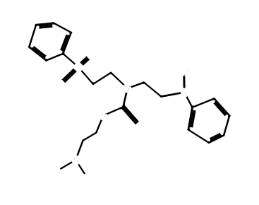 CCN(CC)CCNC(=O)N(CCN(C)c1ccccc1)CCS(=O)(=O)c1ccccc1